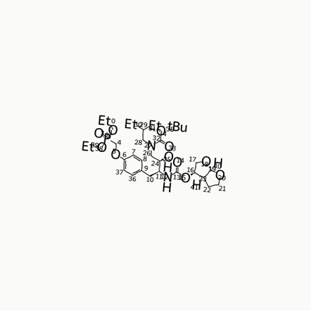 CCOP(=O)(COc1ccc(C[C@H](NC(=O)O[C@H]2CO[C@H]3OCC[C@H]32)[C@H](O)CN(CC(CC)CC)C(=O)OC(C)(C)C)cc1)OCC